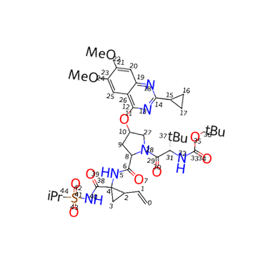 C=CC1CC1(NC(=O)C1CC(Oc2nc(C3CC3)nc3cc(OC)c(OC)cc23)CN1C(=O)[C@@H](NC(=O)OC(C)(C)C)C(C)(C)C)C(=O)NS(=O)(=O)C(C)C